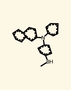 CBc1ccc(N(c2ccccc2)c2ccc3ccccc3c2)cc1